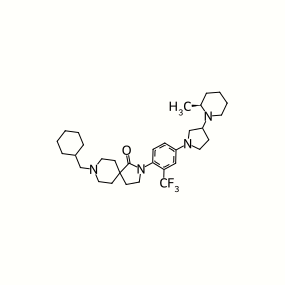 C[C@H]1CCCCN1C1CCN(c2ccc(N3CCC4(CCN(CC5CCCCC5)CC4)C3=O)c(C(F)(F)F)c2)C1